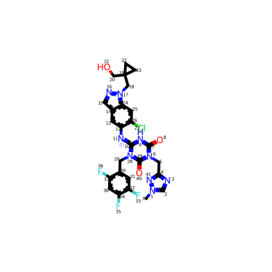 Cn1cnc(Cn2c(=O)[nH]/c(=N\c3cc4cnn(CC5(CO)CC5)c4cc3Cl)n(Cc3cc(F)c(F)cc3F)c2=O)n1